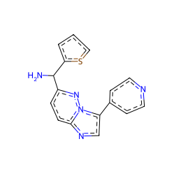 NC(c1ccc2ncc(-c3ccncc3)n2n1)c1cccs1